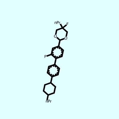 CCCC1CCC(c2ccc(-c3ccc(C4OCC(F)(CCC)CO4)cc3F)cc2)CC1